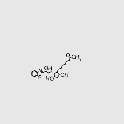 CC(=O)CCCCCC[C@@H]1[C@@H](CCC(O)/C=N/c2ccccc2F)[C@H](O)C[C@@H]1O